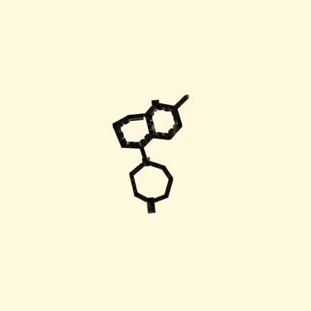 Cc1ccc2c(N3CCCNCC3)cccc2n1